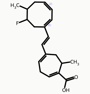 CC1CC(C=C/C2=C/C=C\CC(C)C(F)C2)=CCC=C1C(=O)O